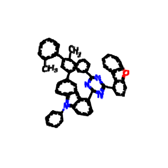 Cc1ccccc1-c1cc(-c2ccc3c(c2)c2c(-c4nc(-c5ccccc5)nc(-c5cccc6oc7ccccc7c56)n4)cccc2n3-c2ccccc2)ccc1C